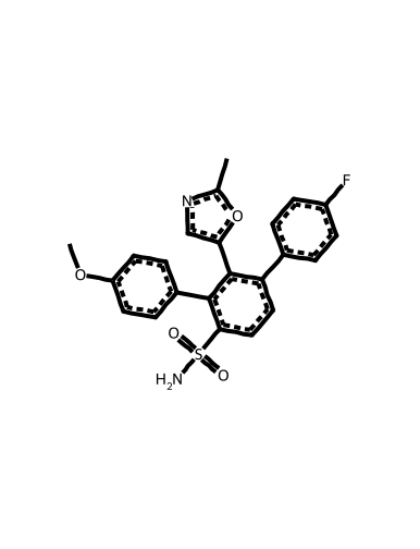 COc1ccc(-c2c(S(N)(=O)=O)ccc(-c3ccc(F)cc3)c2-c2cnc(C)o2)cc1